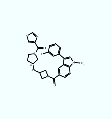 Cn1nc(-c2cccc(F)c2)c2cc(C(=O)N3CC(N[C@H]4CCN(C(=O)c5cscn5)C4)C3)ccc21